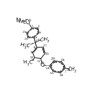 COc1ccc(C(C)(C)C2=CC(C)C(Oc3ccc(C)cc3)C=C2)cc1